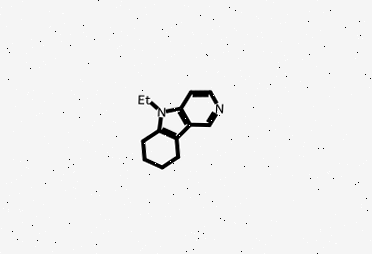 CCn1c2c(c3cnccc31)CCCC2